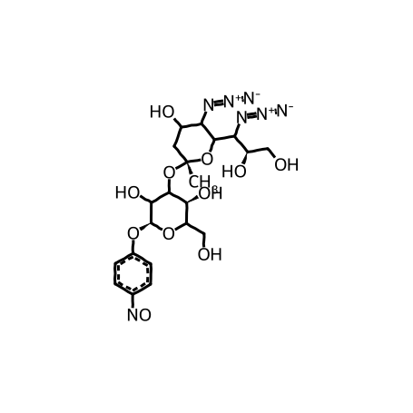 C[C@@]1(OC2C(O)[C@H](Oc3ccc(N=O)cc3)OC(CO)[C@@H]2O)CC(O)C(N=[N+]=[N-])C(C(N=[N+]=[N-])[C@H](O)CO)O1